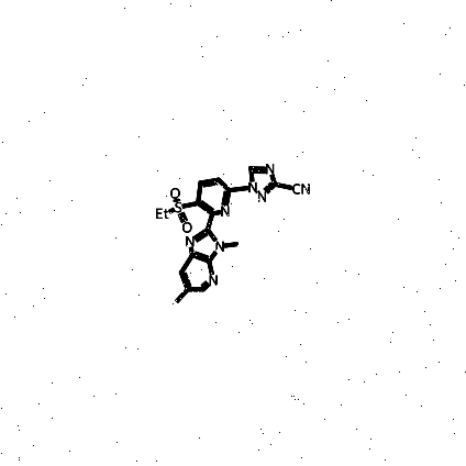 CCS(=O)(=O)c1ccc(-n2cnc(C#N)n2)nc1-c1nc2cc(C)cnc2n1C